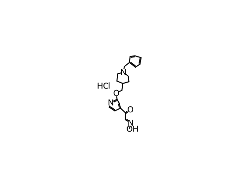 Cl.O=C(C=NO)c1ccnc(OCC2CCN(Cc3ccccc3)CC2)c1